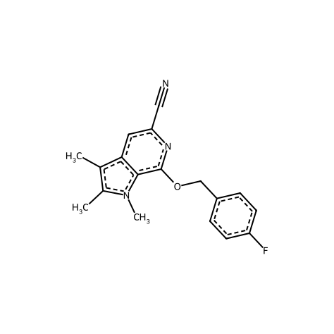 Cc1c(C)n(C)c2c(OCc3ccc(F)cc3)nc(C#N)cc12